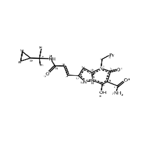 CC(C)Cn1c(=O)c(C(N)=O)c(O)n2nc(C=CC(=O)NC(C)(C)C3CC3)cc12